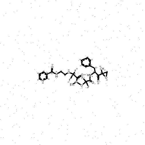 CCN(OC(F)(F)C(=O)NC(Cc1ccccc1)C(=O)C1(C)CO1)C(=O)C(F)(F)OCCNC(=O)c1cccnc1